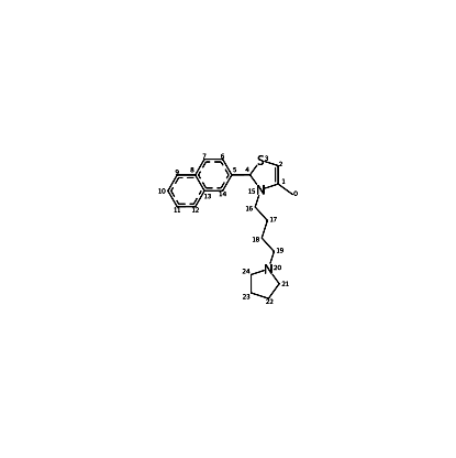 CC1=CSC(c2ccc3ccccc3c2)N1CCCCN1CCCC1